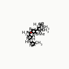 COc1c(Nc2cc(Nc3cc(C)ccn3)nnc2C(N)=O)cc(F)cc1-c1cc(P(C)(C)=O)n(C)n1